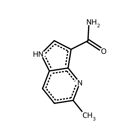 Cc1ccc2[nH]cc(C(N)=O)c2n1